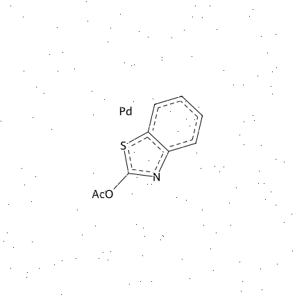 CC(=O)Oc1nc2ccccc2s1.[Pd]